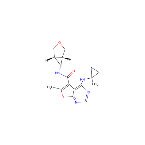 Cc1oc2ncnc(NC3(C)CC3)c2c1C(=O)N[C@@H]1[C@@H]2COC[C@@H]21